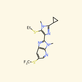 CCSc1c(-c2nc3cc(SC(F)(F)F)cnc3n2C)nc(C2CC2)n1C